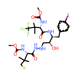 COC(=O)N[C@H](C(=O)NNC[C@H](O)[C@H](Cc1ccc(I)cc1)NC(=O)[C@@H](NC(=O)OC)C(C)(C)C(F)(F)F)C(C)(C)CF